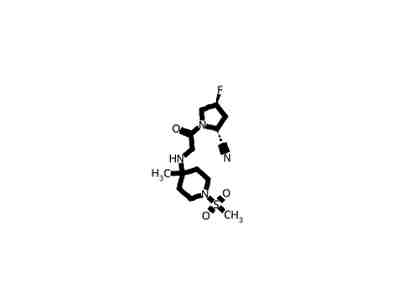 CC1(NCC(=O)N2C[C@@H](F)C[C@@H]2C#N)CCN(S(C)(=O)=O)CC1